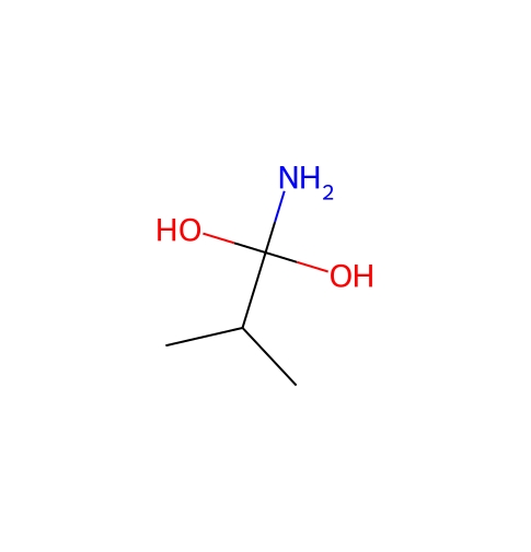 CC(C)C(N)(O)O